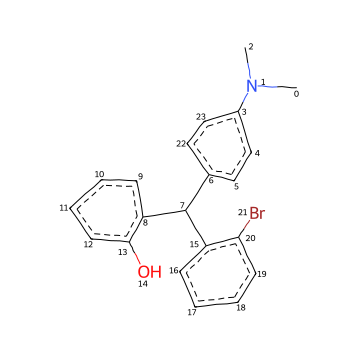 CN(C)c1ccc(C(c2ccccc2O)c2ccccc2Br)cc1